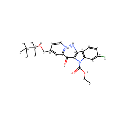 CCOC(=O)n1c(C(=O)c2cc(CO[Si](C)(C)C(C)(C)C)ccn2)c(N)c2ccc(Cl)cc21